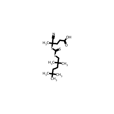 CC(C)(C)CCC(C)(C)CSC(=S)SC(C)(C#N)CCC(=O)O